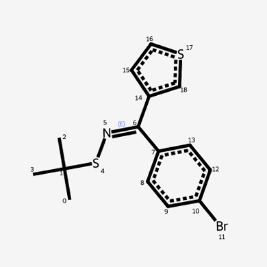 CC(C)(C)S/N=C(\c1ccc(Br)cc1)c1ccsc1